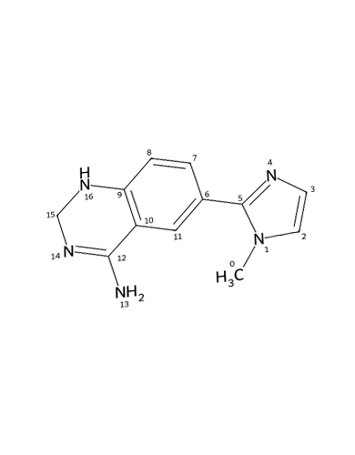 Cn1ccnc1-c1ccc2c(c1)C(N)=NCN2